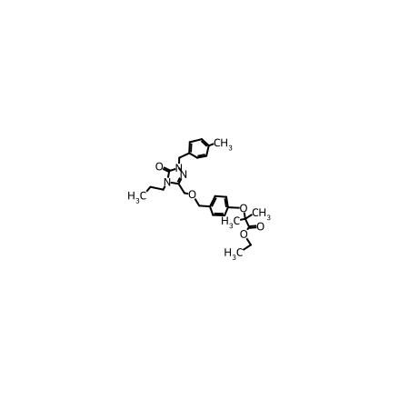 CCCn1c(COCc2ccc(OC(C)(C)C(=O)OCC)cc2)nn(Cc2ccc(C)cc2)c1=O